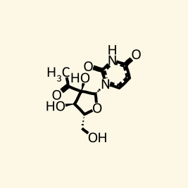 CC(=O)[C@@]1(O)[C@H](O)[C@@H](CO)O[C@H]1n1ccc(=O)[nH]c1=O